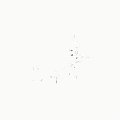 C[C@H](CCC(=O)N[C@@H](Cc1c[nH]c2ccccc12)C(=O)O)[C@H]1CC[C@H]2[C@@H]3[C@H](O)C[C@@H]4C[C@H](O)CC[C@]4(C)[C@H]3CC[C@]12C